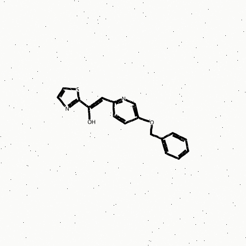 O/C(=C\c1ccc(OCc2ccccc2)cn1)c1nccs1